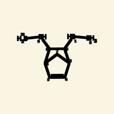 BBC1C2C=CC(C2)C1BB